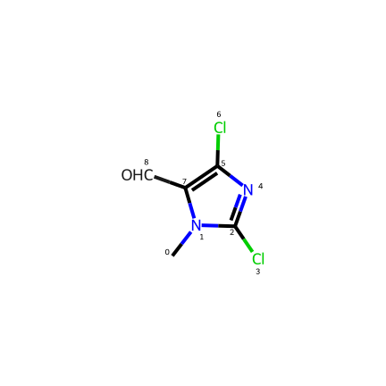 Cn1c(Cl)nc(Cl)c1C=O